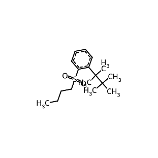 CCCCS(=O)(=O)c1ccccc1C(C)(C)C(C)(C)C